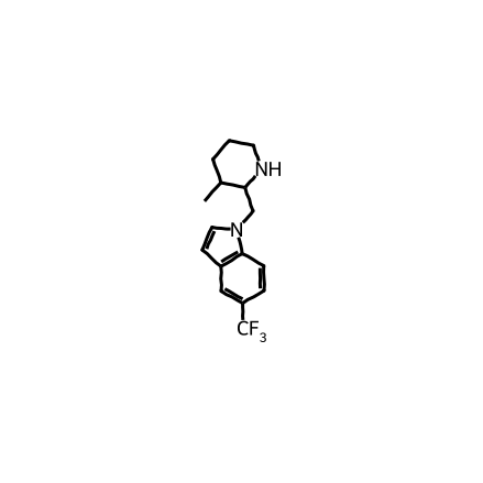 CC1CCCNC1Cn1ccc2cc(C(F)(F)F)ccc21